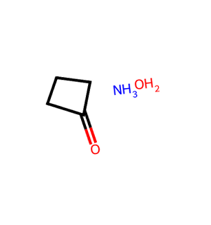 N.O.O=C1CCC1